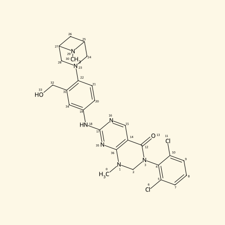 CN1CN(c2c(Cl)cccc2Cl)C(=O)c2cnc(Nc3ccc(N4CC5CC(C4)N5C)c(CO)c3)nc21